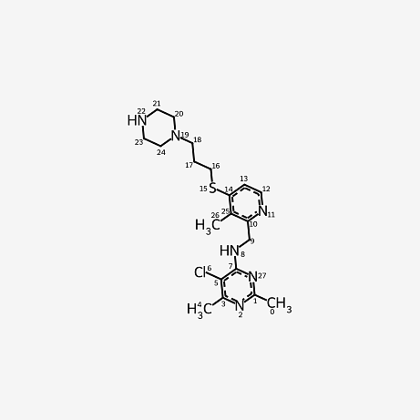 Cc1nc(C)c(Cl)c(NCc2nccc(SCCCN3CCNCC3)c2C)n1